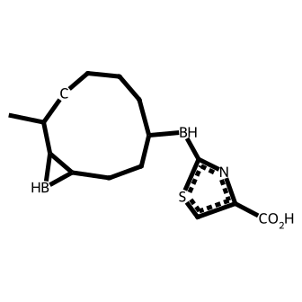 CC1CCCCC(Bc2nc(C(=O)O)cs2)CCC2BC12